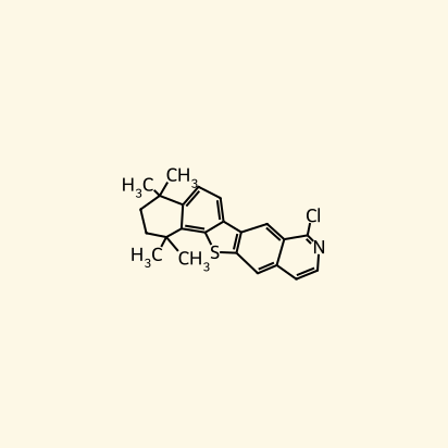 CC1(C)CCC(C)(C)c2c1ccc1c2sc2cc3ccnc(Cl)c3cc21